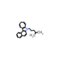 C=C(C)CCCn1c2c(c3c4ccccc4ccc31)C=CCC=C2